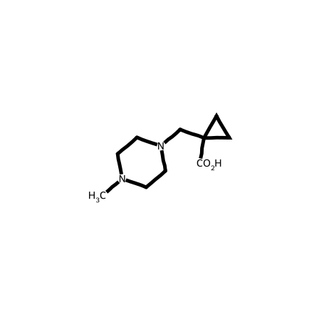 CN1CCN(CC2(C(=O)O)CC2)CC1